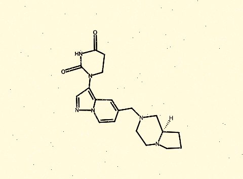 O=C1CCN(c2cnn3ccc(CN4CCN5CCC[C@@H]5C4)cc23)C(=O)N1